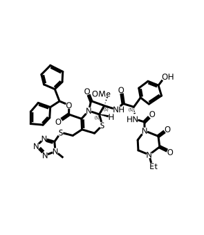 CCN1CCN(C(=O)N[C@H](C(=O)N[C@]2(OC)C(=O)N3C(C(=O)OC(c4ccccc4)c4ccccc4)=C(CSc4nnnn4C)CS[C@H]32)c2ccc(O)cc2)C(=O)C1=O